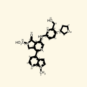 Cn1ccc2c(-c3ncc(Nc4ccc([C@@H]5CCOC5)c(CO)n4)c4c3CN(C(=O)O)C4=O)ccnc21